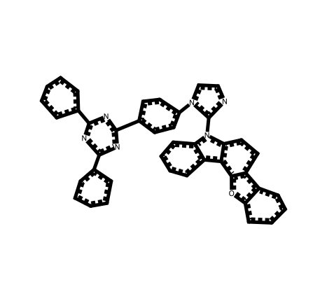 c1ccc(-c2nc(-c3ccccc3)nc(-c3ccc(-n4ccnc4-n4c5ccccc5c5c6oc7ccccc7c6ccc54)cc3)n2)cc1